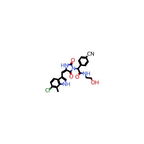 Cc1c(Cl)ccc2c(C=C3NC(=O)N(C(C(=O)NCCO)c4ccc(C#N)cc4)C3=O)c[nH]c12